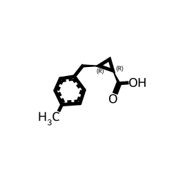 Cc1ccc(C[C@H]2C[C@H]2C(=O)O)cc1